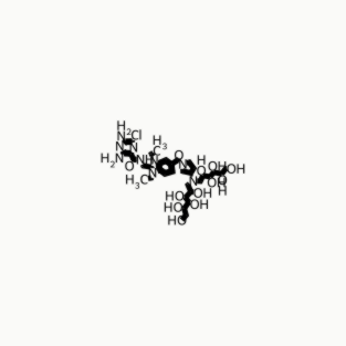 CCn1c(CNC(=O)c2nc(Cl)c(N)nc2N)[n+](CC)c2ccc(C(=O)N3CC[C@@H](N(CC(O)C(O)C(O)C(O)CO)CC(O)C(O)C(O)C(O)CO)C3)cc21